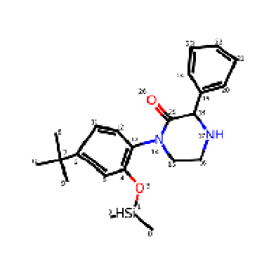 C[SiH](C)Oc1cc(C(C)(C)C)ccc1N1CCNC(c2ccccc2)C1=O